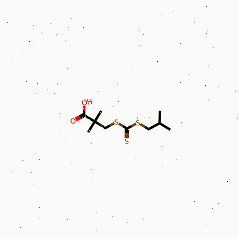 CC(C)CSC(=S)SCC(C)(C)C(=O)O